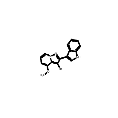 COc1cccn2nc(-c3c[nH]c4ccccc34)c(Br)c12